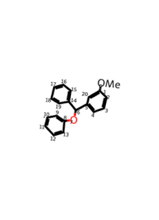 COc1cccc(C(Oc2c[c]ccc2)c2ccccc2)c1